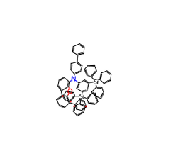 c1ccc(-c2ccc(N(c3cc([Si](c4ccccc4)(c4ccccc4)c4ccccc4)cc([Si](c4ccccc4)(c4ccccc4)c4ccccc4)c3)c3cccc4c3oc3c(-c5ccccc5)cccc34)cc2)cc1